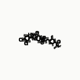 Cc1cc(C(=O)N(C)C)ccc1CCS(=O)(=O)N1CCC2(CC1)N=C(c1ccc(Cl)c(Cl)c1)NC2=O